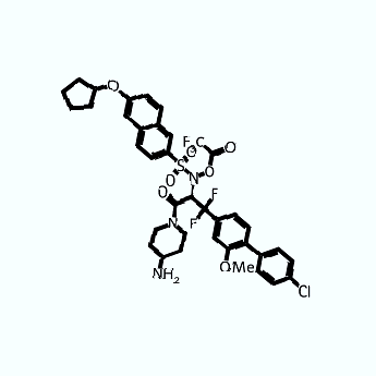 COc1cc(C(F)(F)[C@@H](C(=O)N2CCC(N)CC2)N(OC(=O)C(F)(F)F)S(=O)(=O)c2ccc3cc(OC4CCCC4)ccc3c2)ccc1-c1ccc(Cl)cc1